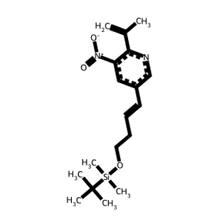 C=C(C)c1ncc(/C=C/CCO[Si](C)(C)C(C)(C)C)cc1[N+](=O)[O-]